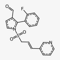 O=Cc1ccn(S(=O)(=O)CC=Cc2cccnc2)c1-c1ccccc1F